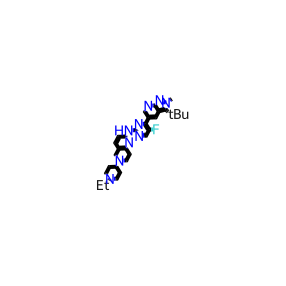 CCN1CCC(N2CCc3nc(Nc4ncc(F)c(-c5cnc6nn(C)c(C(C)(C)C)c6c5)n4)ccc3C2)CC1